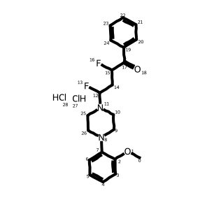 COc1ccccc1N1CCN(C(F)CC(F)C(=O)c2ccccc2)CC1.Cl.Cl